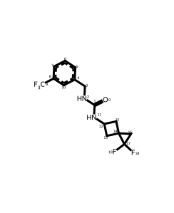 O=C(NCc1cccc(C(F)(F)F)c1)NC1CC2(C1)CC2(F)F